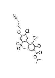 CC(C)OC(=O)c1cc2c(n(C3CC3)c1=O)-c1cc(Cl)c(OCCCC#N)cc1S(=O)(=O)C2